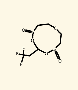 O=S1CCCCCS(=O)OC(CC(F)(F)F)O1